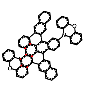 c1ccc(-c2cc3ccccc3cc2-c2c3ccc(N4c5ccccc5Oc5ccccc54)cc3c(-c3cc4ccccc4cc3-c3ccccc3)c3ccc(N4c5ccccc5Oc5ccccc54)cc23)cc1